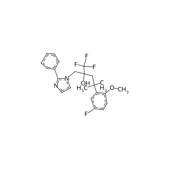 COc1ccc(F)cc1C(C)(C)CC(O)(Cn1ccnc1-c1ccccc1)C(F)(F)F